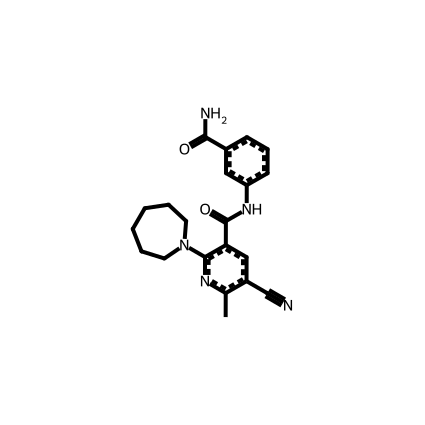 Cc1nc(N2CCCCCC2)c(C(=O)Nc2cccc(C(N)=O)c2)cc1C#N